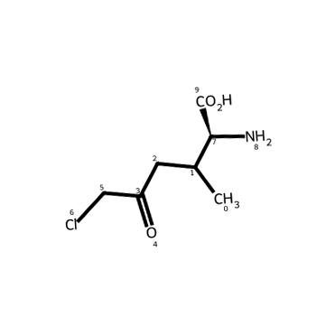 CC(CC(=O)CCl)[C@H](N)C(=O)O